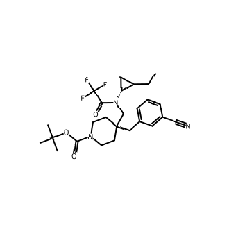 CCC1C[C@H]1N(CC1(Cc2cccc(C#N)c2)CCN(C(=O)OC(C)(C)C)CC1)C(=O)C(F)(F)F